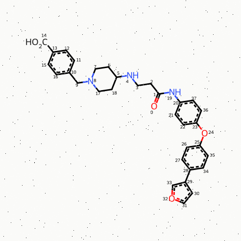 O=C(CCNC1CCN(Cc2ccc(C(=O)O)cc2)CC1)Nc1ccc(Oc2ccc(-c3ccoc3)cc2)cc1